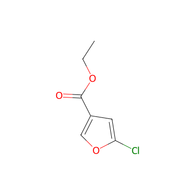 CCOC(=O)c1coc(Cl)c1